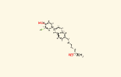 CC(O)CCCC=Cc1ccc2cc(-c3ccc(O)c(F)c3)ccc2c1